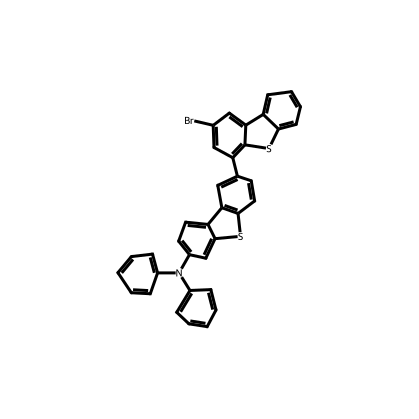 Brc1cc(-c2ccc3sc4cc(N(c5ccccc5)c5ccccc5)ccc4c3c2)c2sc3ccccc3c2c1